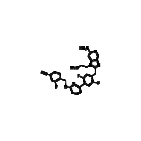 C#Cc1ccc(COc2cccc(-c3cc(F)c(Cc4nc5ccc(C(=O)O)cc5n4CCOC)cc3F)n2)c(F)c1